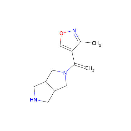 C=C(c1conc1C)N1CC2CNCC2C1